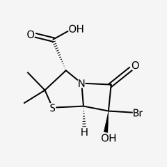 CC1(C)S[C@H]2N(C(=O)[C@]2(O)Br)[C@H]1C(=O)O